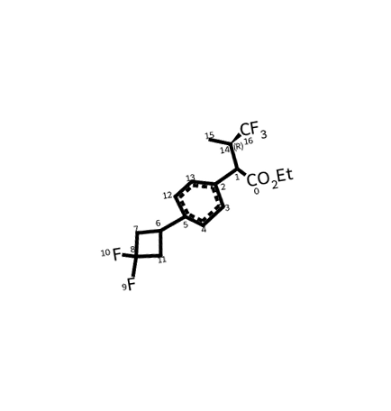 CCOC(=O)C(c1ccc(C2CC(F)(F)C2)cc1)[C@@H](C)C(F)(F)F